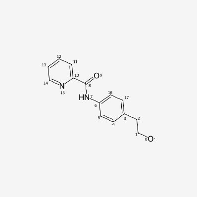 [O]CCc1ccc(NC(=O)c2ccccn2)cc1